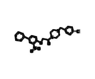 O=C(COc1ccc(-c2ccccc2)cc1[N+](=O)[O-])N1CCN(Cc2ccc(Cl)cc2)CC1